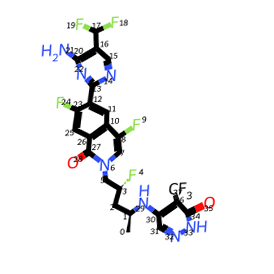 C[C@@H](C[C@@H](F)Cn1cc(F)c2cc(-c3ncc(C(F)F)c(N)n3)c(F)cc2c1=O)Nc1cn[nH]c(=O)c1C(F)(F)F